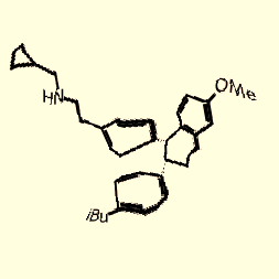 CCC(C)c1ccc([C@H]2CCc3cc(OC)ccc3[C@H]2C2C=CC(CCNCC3CC3)=CC2)cc1